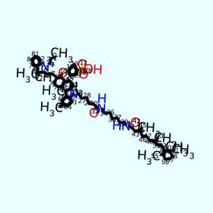 CCCC[N+]1=C(/C=C/C2=C(Oc3ccc(S(=O)(=O)O)cc3)C(=C/C=C3/N(CCCCCC(=O)NCCCCCCNC(=O)/C=C(C)/C=C/C=C(C)/C=C/C4=C(C)CCCC4(C)C)c4ccc(C)cc4C3(C)C)/CCC2)C(C)(C)c2ccccc21